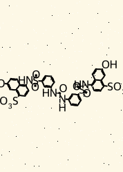 O=C(Nc1cccc(S(=O)(=O)Nc2ccc(S(=O)(=O)O)c3cc(O)ccc23)c1)Nc1cccc(S(=O)(=O)Nc2ccc(S(=O)(=O)O)c3cc(O)ccc23)c1